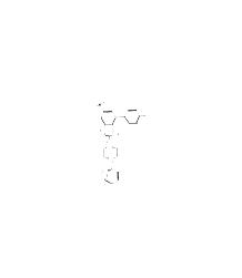 C[C@@H]1CN(c2ncccc2Cl)CCN1c1nc2cc(C(F)(F)F)cc(-c3cc(F)c(F)c(F)c3)c2[nH]1